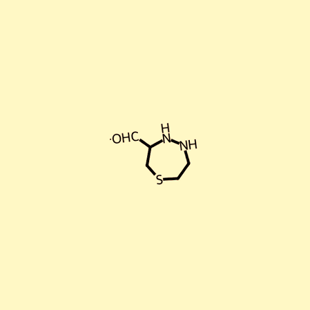 O=[C]C1CSCCNN1